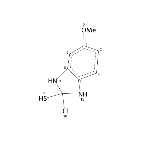 COc1ccc2c(c1)NC(S)(Cl)N2